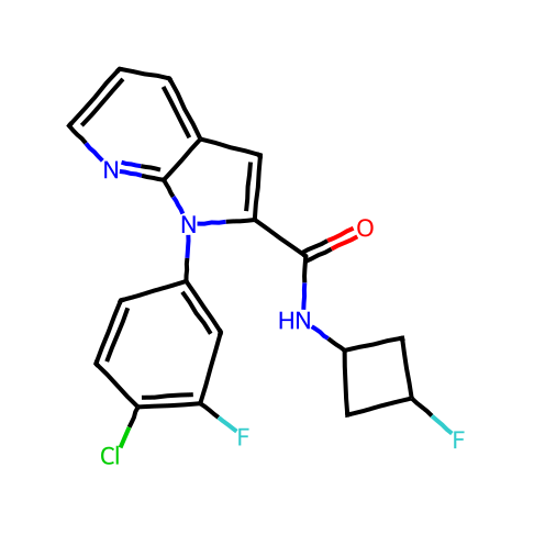 O=C(NC1CC(F)C1)c1cc2cccnc2n1-c1ccc(Cl)c(F)c1